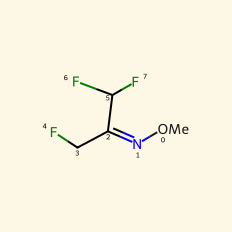 CON=C(CF)C(F)F